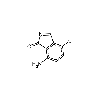 Nc1ccc(Cl)c2c1C(=O)N=C2